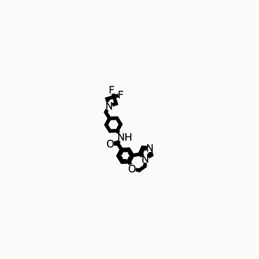 O=C(NC1CCC(CN2CC(F)(F)C2)CC1)c1ccc2c(c1)-c1cncn1CCO2